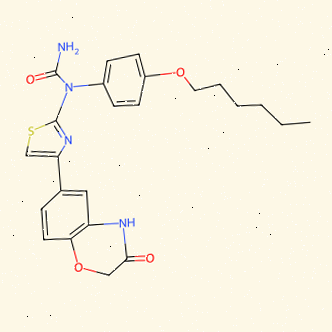 CCCCCCOc1ccc(N(C(N)=O)c2nc(-c3ccc4c(c3)NC(=O)CO4)cs2)cc1